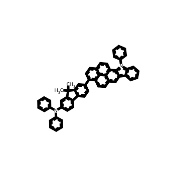 CC1(C)c2cc(-c3ccc4ccc5c6c(ccc3c46)cc3c4ccccc4n(-c4ccccc4)c35)ccc2-c2ccc(N(c3ccccc3)c3ccccc3)cc21